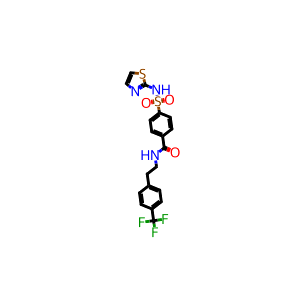 O=C(NCCc1ccc(C(F)(F)F)cc1)c1ccc(S(=O)(=O)Nc2nccs2)cc1